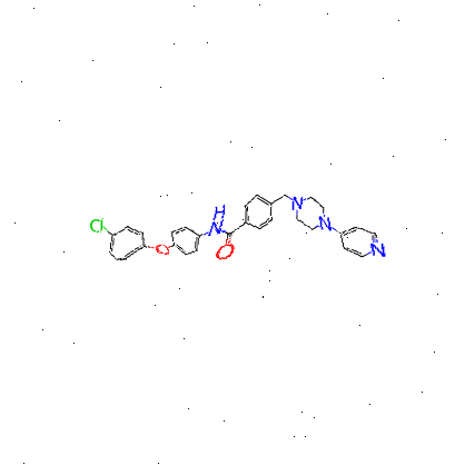 O=C(Nc1ccc(Oc2ccc(Cl)cc2)cc1)c1ccc(CN2CCN(c3ccncc3)CC2)cc1